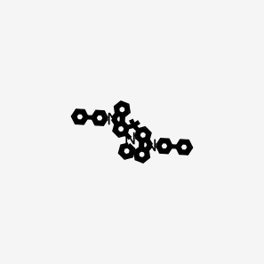 CC1(C)c2ccc3c(c2N(c2ccccc2)c2ccc4c(c21)c1ccccc1n4-c1ccc(-c2ccccc2)cc1)c1ccccc1n3-c1ccc(-c2ccccc2)cc1